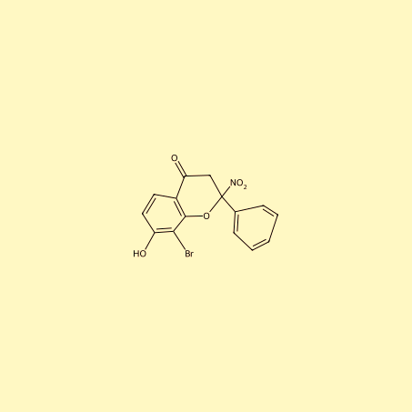 O=C1CC(c2ccccc2)([N+](=O)[O-])Oc2c1ccc(O)c2Br